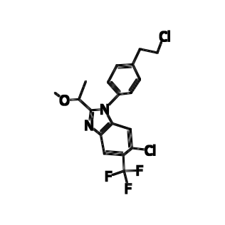 COC(C)c1nc2cc(C(F)(F)F)c(Cl)cc2n1-c1ccc(CCCl)cc1